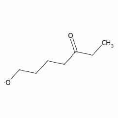 CCC(=O)CCCC[O]